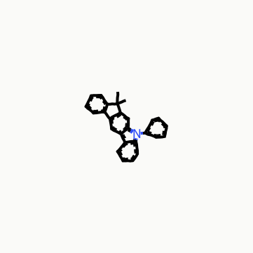 CC1(C)c2ccccc2-c2cc3c4ccccc4n(-c4ccccc4)c3cc21